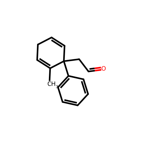 CC1=CCC=CC1(CC=O)c1ccccc1